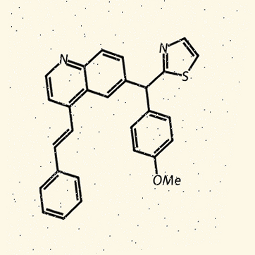 COc1ccc(C(c2ccc3nccc(/C=C/c4ccccc4)c3c2)c2nccs2)cc1